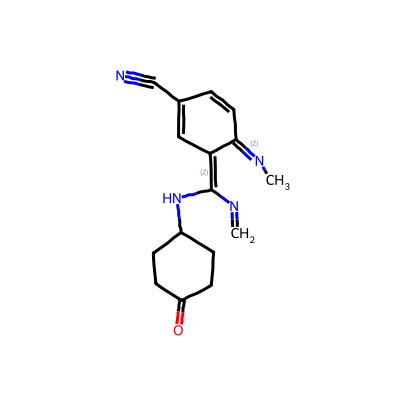 C=N/C(NC1CCC(=O)CC1)=C1/C=C(C#N)C=C/C1=N/C